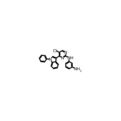 Nc1cccc(Nc2ncc(Cl)c(-c3cn(-c4ccccc4)c4ccccc34)n2)c1